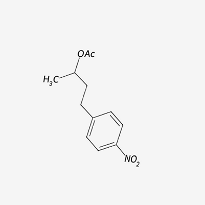 CC(=O)OC(C)CCc1ccc([N+](=O)[O-])cc1